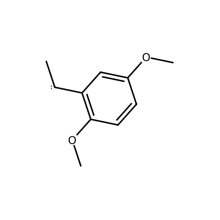 C[C]c1cc(OC)ccc1OC